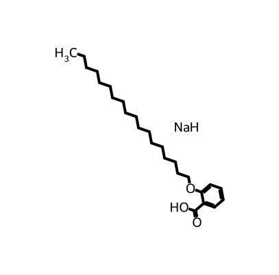 CCCCCCCCCCCCCCCCCCOc1ccccc1C(=O)O.[NaH]